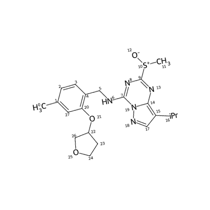 Cc1ccc(CNc2nc([S+](C)[O-])nc3c(C(C)C)cnn23)c(OC2CCOC2)c1